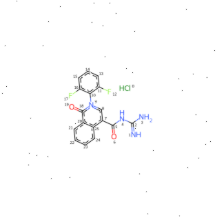 Cl.N=C(N)NC(=O)c1cn(-c2c(F)cccc2F)c(=O)c2ccccc12